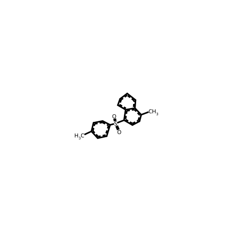 Cc1ccc(S(=O)(=O)c2ccc(C)c3ccccc23)cc1